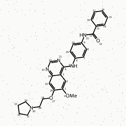 COc1cc2c(Nc3ccc(NC(=O)c4ccccc4)cc3)ncnc2cc1OCCN1CCCC1